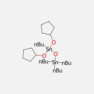 CCC[CH2][Sn]([CH2]CCC)([CH2]CCC)[O][Sn]([CH2]CCC)([O]C1CCCC1)[O]C1CCCC1